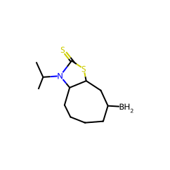 BC1CCCCC2C(C1)SC(=S)N2C(C)C